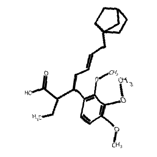 CCC(C(=O)O)C(CC=CCC12CCC(CC1)C2)c1ccc(OC)c(OC)c1OC